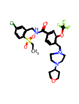 CCS(=O)(=O)c1ccc(Cl)cc1CNC(=O)c1ccc(CN2CCN(C3CCOCC3)CC2)c(OC(F)(F)F)c1